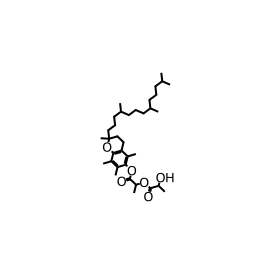 Cc1c(C)c2c(c(C)c1OC(=O)C(C)OC(=O)C(C)O)CCC(C)(CCCC(C)CCCC(C)CCCC(C)C)O2